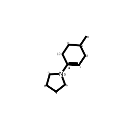 CC1CC=C(N2CCCC2)CC1